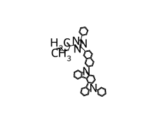 C=C(/C=C\C=C/C)c1nc(-c2ccccc2)nc(-c2ccc3ccc(-n4c5ccccc5c5c6c7ccccc7n(-c7ccccc7)c6ccc54)cc3c2)n1